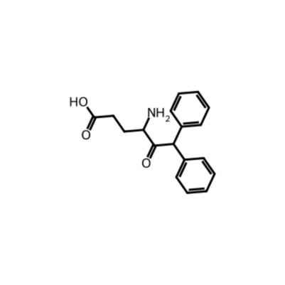 NC(CCC(=O)O)C(=O)C(c1ccccc1)c1ccccc1